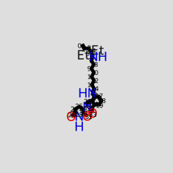 C=CCC(CC)(CC)NCCCCCCCCNc1cccc2c1CN(C1CCC(=O)NC1=O)C2=O